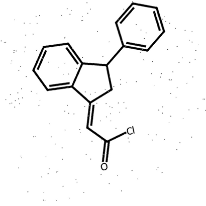 O=C(Cl)C=C1CC(c2ccccc2)c2ccccc21